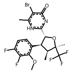 COc1c([C@H]2[C@H](c3nc(=O)c(Br)c(C)[nH]3)O[C@@](C)(C(F)(F)F)[C@H]2C)ccc(F)c1F